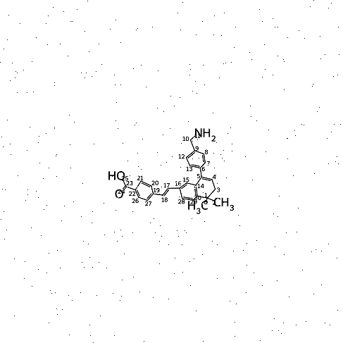 CC1(C)CC=C(c2ccc(CN)cc2)c2cc(/C=C/c3ccc(C(=O)O)cc3)ccc21